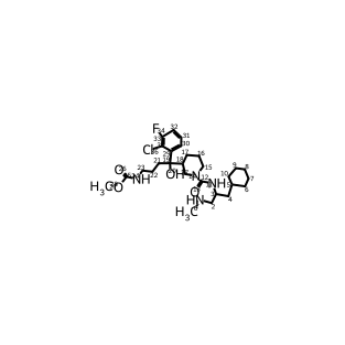 CNCC(CC1CCCCC1)NC(=O)N1CCCC(C(O)(CCCNC(=O)OC)c2cccc(F)c2Cl)C1